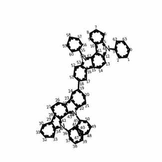 c1ccc(-n2c3ccccc3c3c2ccc2c4cc(-c5ccc6c(c5)c5ccc7c8ccccc8n(-c8ccccc8)c7c5n6-c5ccccc5)ccc4n(-c4ccccc4)c23)cc1